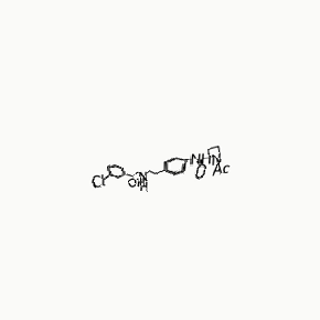 CC(=O)N1CCC[C@H]1C(=O)Nc1ccc(CCNC[C@H](O)c2cccc(Cl)c2)cc1